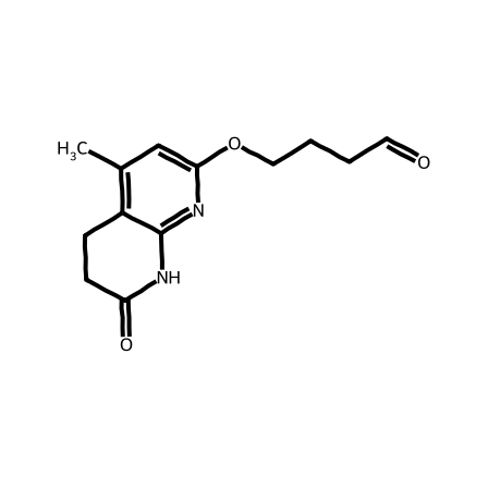 Cc1cc(OCCCC=O)nc2c1CCC(=O)N2